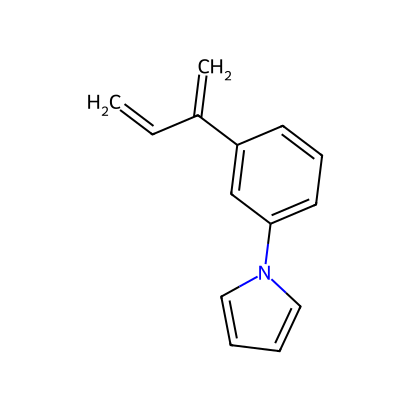 C=CC(=C)c1cccc(-n2cccc2)c1